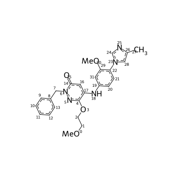 COCCOc1nn(Cc2ccccc2)c(=O)cc1Nc1ccc(-n2cnc(C)c2)c(OC)c1